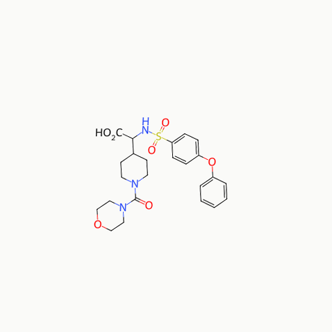 O=C(O)C(NS(=O)(=O)c1ccc(Oc2ccccc2)cc1)C1CCN(C(=O)N2CCOCC2)CC1